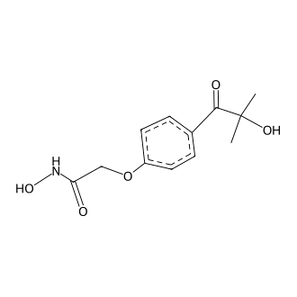 CC(C)(O)C(=O)c1ccc(OCC(=O)NO)cc1